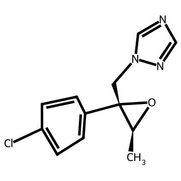 C[C@@H]1O[C@@]1(Cn1cncn1)c1ccc(Cl)cc1